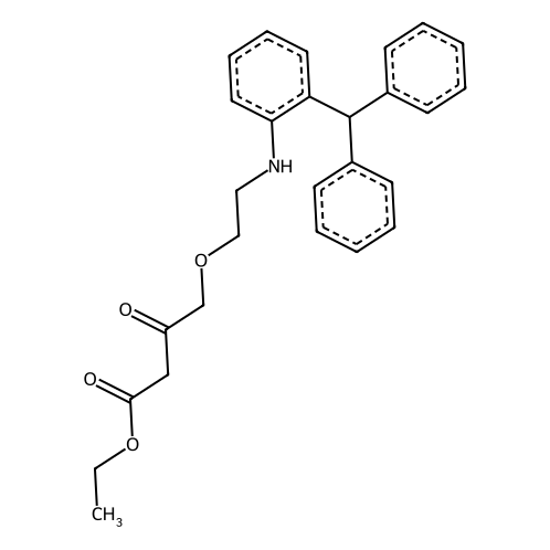 CCOC(=O)CC(=O)COCCNc1ccccc1C(c1ccccc1)c1ccccc1